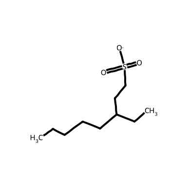 CCCCCC(CC)CCS([O])(=O)=O